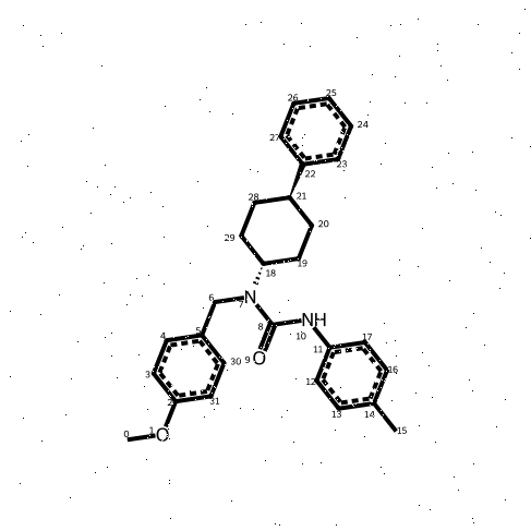 COc1ccc(CN(C(=O)Nc2ccc(C)cc2)[C@H]2CC[C@H](c3ccccc3)CC2)cc1